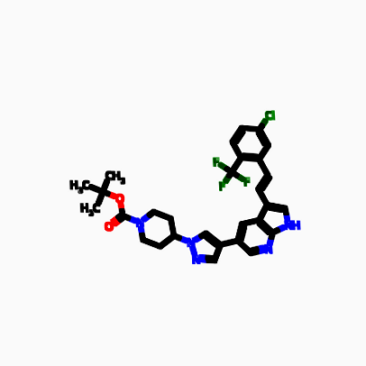 CC(C)(C)OC(=O)N1CCC(n2cc(-c3cnc4[nH]cc(/C=C/c5cc(Cl)ccc5C(F)(F)F)c4c3)cn2)CC1